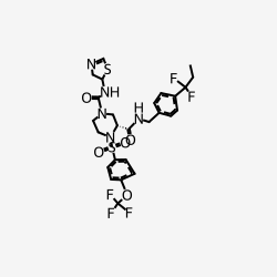 CCC(F)(F)c1ccc(CNC(=O)[C@H]2CN(C(=O)NC3CN=CS3)CCN2S(=O)(=O)c2ccc(OC(F)(F)F)cc2)cc1